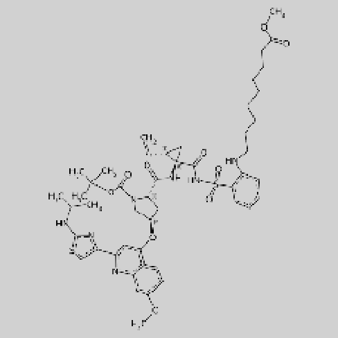 C=C[C@@H]1C[C@]1(NC(=O)[C@@H]1C[C@@H](Oc2cc(-c3csc(NC(C)C)n3)nc3cc(OC)ccc23)CN1C(=O)OC(C)(C)C)C(=O)NS(=O)(=O)c1ccccc1NCCCCCCCCC(=O)OC